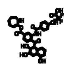 O=C(Nc1cc(C(=O)OC2=CC=CC=CN2)ccc1C(=O)c1c(O)c(O)cc2c(O)cccc12)c1ccc(O)cc1.O=C(O)C(F)(F)F